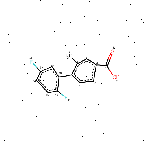 Cc1cc(C(=O)O)ccc1-c1cc(F)ccc1F